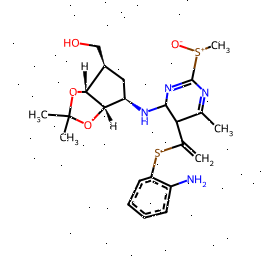 C=C(Sc1ccccc1N)C1C(C)=NC([S+](C)[O-])=NC1N[C@@H]1C[C@H](CO)[C@H]2OC(C)(C)O[C@H]21